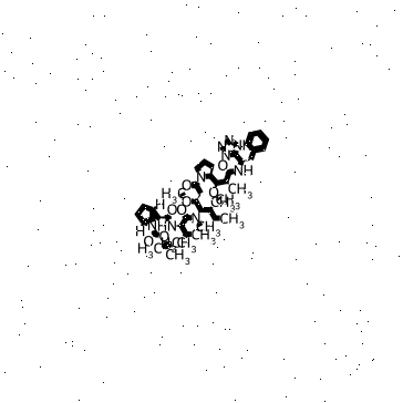 CC[C@H](C)[C@@H]([C@@H](CC(=O)N1CCC[C@H]1[C@H](OC)[C@@H](C)C(=O)N[C@@H](Cc1ccccc1)c1nnn[nH]1)OC)N(C)C(=O)[C@@H](NC(=O)[C@@H]1[C@H]2CC[C@H](C2)N1C(=O)OC(C)(C)C)C(C)C